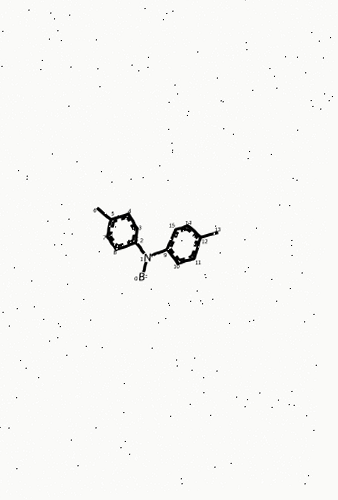 [B]N(c1ccc(C)cc1)c1ccc(C)cc1